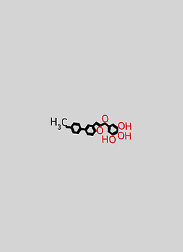 CCc1ccc(-c2ccc3oc(C(=O)c4cc(O)c(O)c(O)c4)cc3c2)cc1